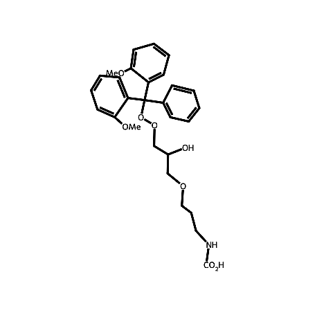 COc1ccccc1C(OOCC(O)COCCCNC(=O)O)(c1ccccc1)c1ccccc1OC